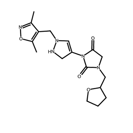 Cc1noc(C)c1CN1C=C(N2C(=O)CN(CC3CCCO3)C2=O)CN1